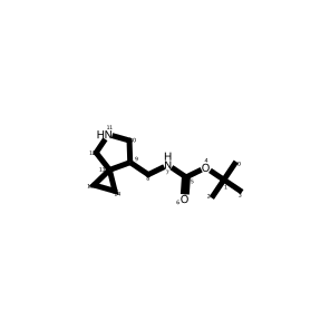 CC(C)(C)OC(=O)NCC1CNCC12CC2